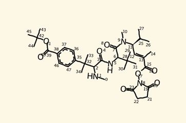 CNC(C(=O)NC(C(=O)N(C)[C@H](/C=C(\C)C(=O)ON1C(=O)CCC1=O)C(C)C)C(C)(C)C)C(C)(C)c1ccc(C(=O)OC(C)(C)C)cc1